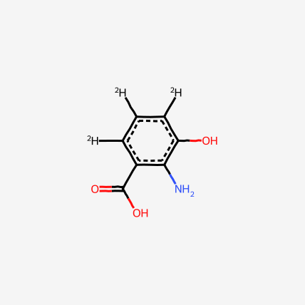 [2H]c1c([2H])c(O)c(N)c(C(=O)O)c1[2H]